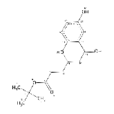 CC(C)(C)OC(=O)CCC1CC(=O)c2cc(O)ccc2O1